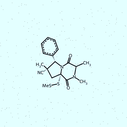 CSS[C@]12C[C@](C)(C#N)[C@H](c3ccccc3)N1C(=O)C(C)N(C)C2=O